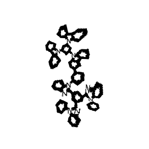 c1ccc(-n2c(-c3cc(-c4nc5ccccc5n4-c4ccccc4)cc(-c4nc5ccccc5n4-c4cccc(-c5ccc6c(c5)c5ccccc5n6-c5cc(-n6c7ccccc7c7ccccc76)cc(-n6c7ccccc7c7ccccc76)c5)c4)c3)nc3ccccc32)cc1